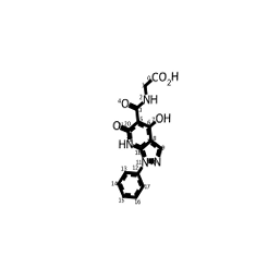 O=C(O)CNC(=O)c1c(O)c2cnn(-c3ccccc3)c2[nH]c1=O